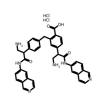 Cl.Cl.NCC(C(=O)Nc1ccc2cnccc2c1)c1ccc(Cc2cc(C(CN)C(=O)Nc3ccc4cnccc4c3)ccc2C(=O)O)cc1